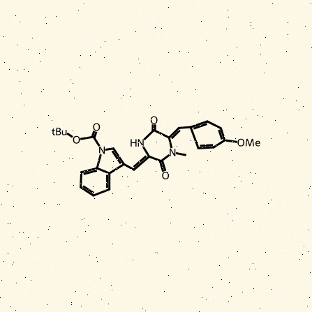 COc1ccc(C=c2c(=O)[nH]c(=Cc3cn(C(=O)OC(C)(C)C)c4ccccc34)c(=O)n2C)cc1